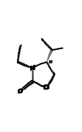 CCN1C(=O)OC[C@H]1C(C)C